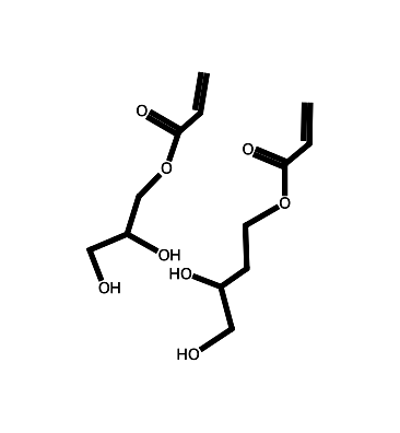 C=CC(=O)OCC(O)CO.C=CC(=O)OCCC(O)CO